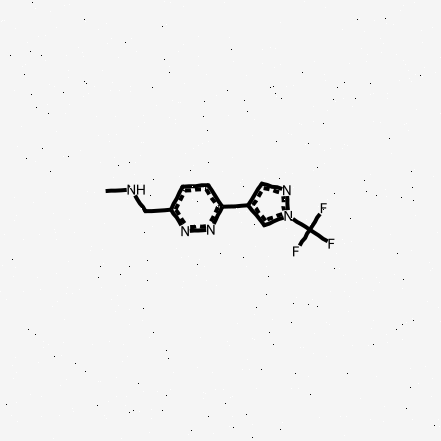 CNCc1ccc(-c2cnn(C(F)(F)F)c2)nn1